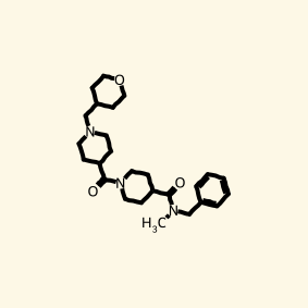 CN(Cc1ccccc1)C(=O)C1CCN(C(=O)C2CCN(CC3CCOCC3)CC2)CC1